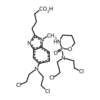 Cn1c(CCCC(=O)O)nc2cc(N(CCCl)CCCl)ccc21.O=P1(N(CCCl)CCCl)NCCCO1